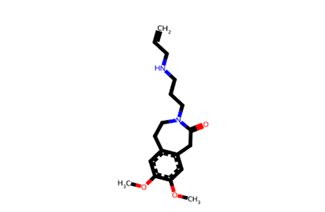 C=CCNCCCN1CCc2cc(OC)c(OC)cc2CC1=O